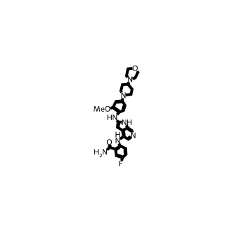 COc1cc(N2CCC(N3CCOCC3)CC2)ccc1Nc1cc2c(Nc3ccc(F)cc3C(N)=O)cncc2[nH]1